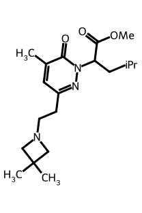 COC(=O)C(CC(C)C)n1nc(CCN2CC(C)(C)C2)cc(C)c1=O